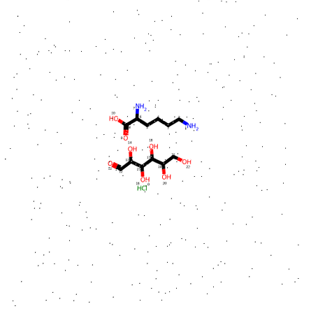 Cl.NCCCCC(N)C(=O)O.O=CC(O)C(O)C(O)C(O)CO